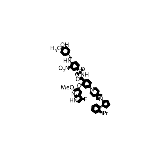 COc1nc2[nH]cc(F)c2cc1Oc1cc(N2CCC3(CC2)CN([C@@H]2CCC[C@@H]2c2ccccc2C(C)C)C3)ccc1C(=O)NS(=O)(=O)c1ccc(NC[C@H]2CC[C@](C)(O)CC2)c([N+](=O)[O-])c1